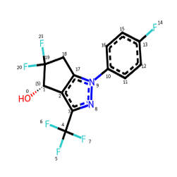 O[C@H]1c2c(C(F)(F)F)nn(-c3ccc(F)cc3)c2CC1(F)F